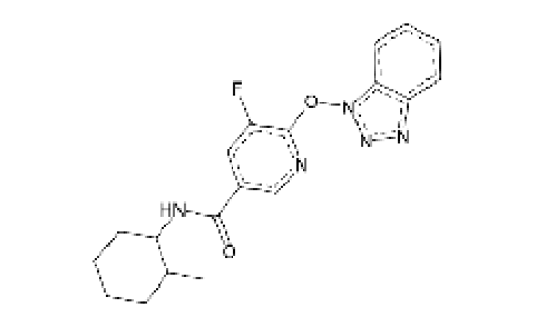 CC1CCCCC1NC(=O)c1cnc(On2nnc3ccccc32)c(F)c1